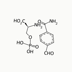 NC(=O)c1ccc(C=O)cc1.N[C@@H](COP(=O)(O)O)C(=O)O